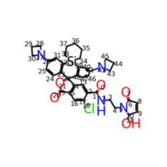 O=C(NCCN1C(=O)C=CC1O)c1cc2c(cc1Cl)C(=O)OC21c2ccc(N3CCC3)cc2[Si]2(CCCCC2)c2cc(N3CCC3)ccc21